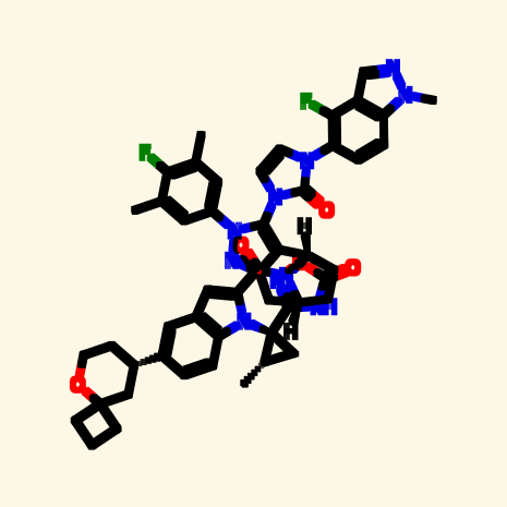 Cc1cc(-n2nc3c(c2-n2ccn(-c4ccc5c(cnn5C)c4F)c2=O)[C@@H]2CC[C@H](C3)N2C(=O)c2cc3cc([C@H]4CCOC5(CCC5)C4)ccc3n2[C@@]2(c3noc(=O)[nH]3)C[C@@H]2C)cc(C)c1F